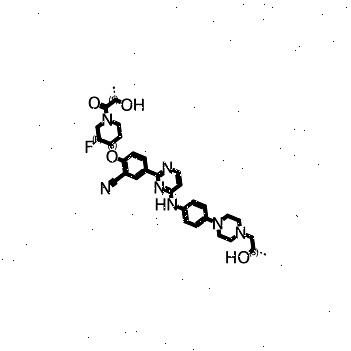 C[C@H](O)CN1CCN(c2ccc(Nc3ccnc(-c4ccc(O[C@H]5CCN(C(=O)[C@H](C)O)C[C@H]5F)c(C#N)c4)n3)cc2)CC1